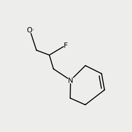 [O]CC(F)CN1CC=CCC1